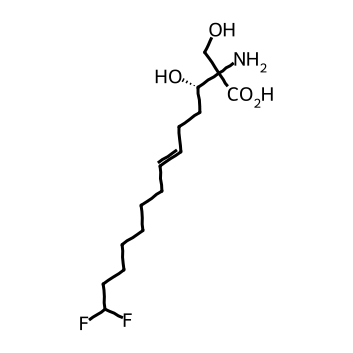 NC(CO)(C(=O)O)[C@@H](O)CC/C=C/CCCCCCC(F)F